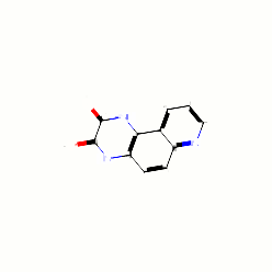 O=c1[nH]c2ccc3ncccc3c2[nH]c1=O